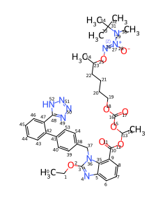 CCOc1nc2cccc(C(=O)OC(C)OC(=O)OCCCCC(C)O/N=[N+](\[O-])N(C)C(C)(C)C)c2n1Cc1ccc(-c2ccccc2-c2nnn[nH]2)cc1